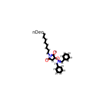 CCCCCCCCCCCCCCCCCCN1C(=O)CC(ON(Cc2ccccc2)Cc2ccccc2)C1=O